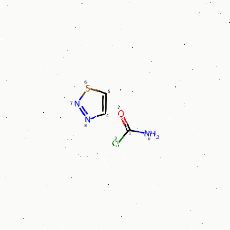 NC(=O)Cl.c1csnn1